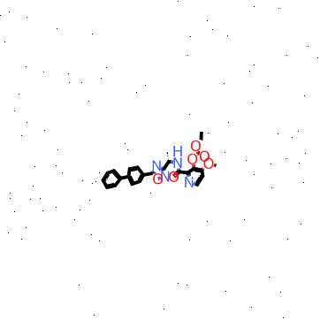 CCOC(=O)Oc1c(OC)ccnc1C(=O)N[C@@H](C)c1noc(-c2ccc(-c3ccccc3)cc2)n1